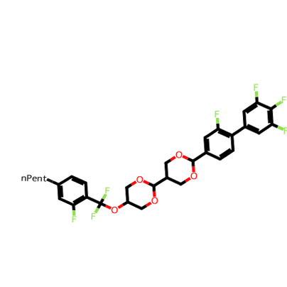 CCCCCc1ccc(C(F)(F)OC2COC(C3COC(c4ccc(-c5cc(F)c(F)c(F)c5)c(F)c4)OC3)OC2)c(F)c1